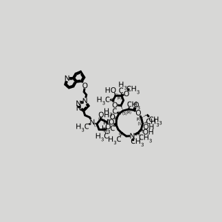 CC[C@H]1OC(=O)[C@H](C)[C@@H](C2C[C@@](C)(OC)[C@@H](O)[C@H](C)O2)[C@H](C)[C@@H](O[C@@H]2O[C@H](C)C[C@H](N(C)CCc3cn(CCOc4cccc5ncccc45)nn3)[C@H]2O)[C@](C)(O)C[C@@H](C)CN(C)[C@H](C)[C@@H](O)[C@]1(C)O